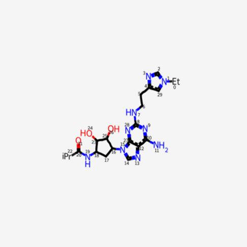 CCn1cnc(CCNc2nc(N)c3ncn(C4CC(NC(=O)C(C)C)C(O)C4O)c3n2)c1